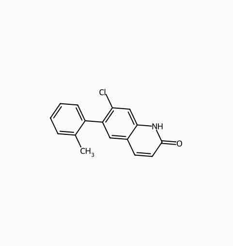 Cc1ccccc1-c1cc2ccc(=O)[nH]c2cc1Cl